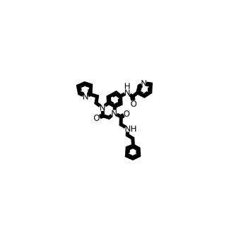 O=C(Nc1ccc2c(c1)N(C(=O)CNCCc1ccccc1)CC(=O)N2CCc1ccccn1)c1cccnc1